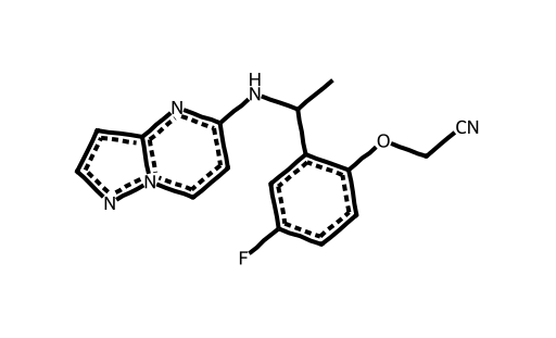 CC(Nc1ccn2nccc2n1)c1cc(F)ccc1OCC#N